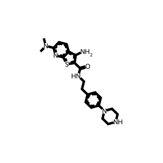 CN(C)c1ccc2c(N)c(C(=O)NCCc3ccc(N4CCNCC4)cc3)sc2n1